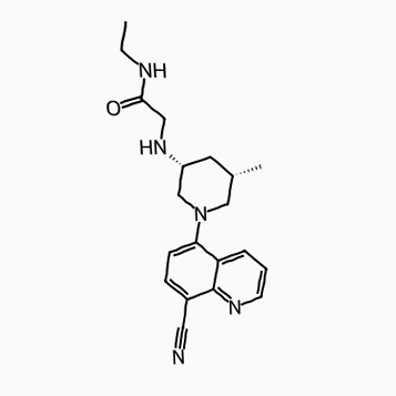 CCNC(=O)CN[C@@H]1C[C@H](C)CN(c2ccc(C#N)c3ncccc23)C1